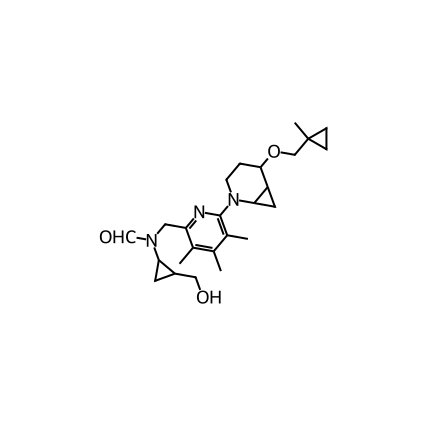 Cc1c(CN(C=O)C2CC2CO)nc(N2CCC(OCC3(C)CC3)C3CC32)c(C)c1C